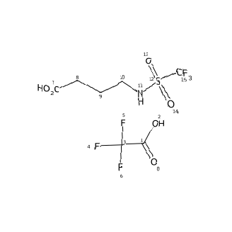 O=C(O)C(F)(F)F.O=C(O)CCCNS(=O)(=O)C(F)(F)F